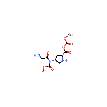 CC(C)(C)OC(=O)OC(=O)[C@@H]1C[C@@H](N(C(=O)CN)C(=O)OC(C)(C)C)CN1